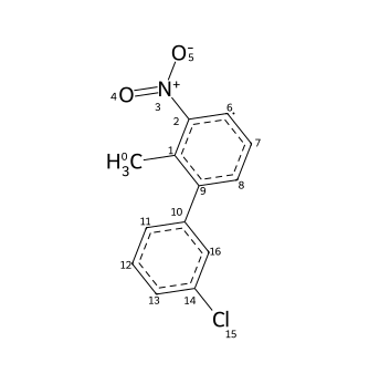 Cc1c([N+](=O)[O-])[c]ccc1-c1cccc(Cl)c1